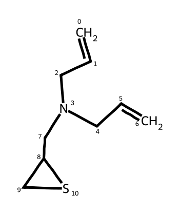 C=CCN(CC=C)CC1CS1